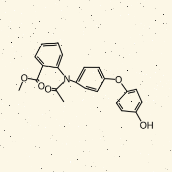 COC(=O)c1ccccc1N(C(C)=O)c1ccc(Oc2ccc(O)cc2)cc1